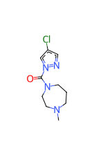 CN1CCCN(C(=O)n2cc(Cl)cn2)CC1